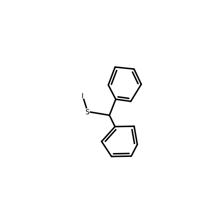 ISC(c1ccccc1)c1ccccc1